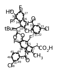 Cc1c(CC(=O)O)c2c(F)c(OC(=O)C(c3c(C)n(C(=O)c4cccc(Cl)c4)c4cc(F)c(O)c(F)c34)C(C)(C)C)c(F)cc2n1C(=O)c1cccc(Cl)c1